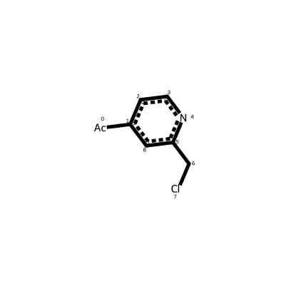 CC(=O)c1ccnc(CCl)c1